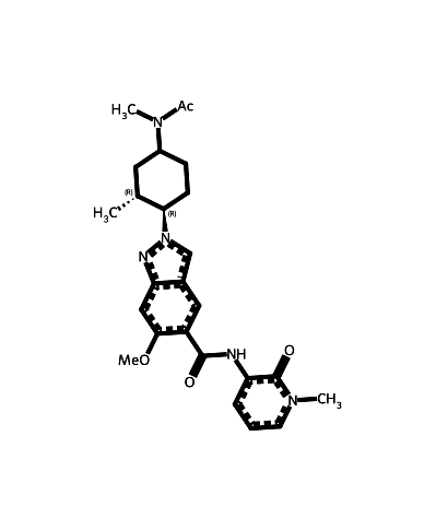 COc1cc2nn([C@@H]3CCC(N(C)C(C)=O)C[C@H]3C)cc2cc1C(=O)Nc1cccn(C)c1=O